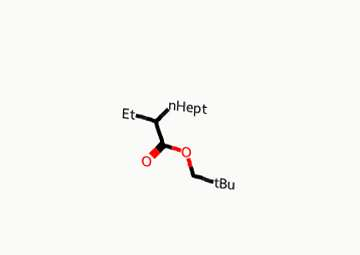 CCCCCCCC(CC)C(=O)OCC(C)(C)C